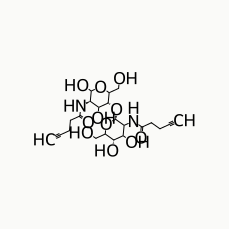 C#CCCC(=O)NC1C(O)[C@H](O)C(CO)O[C@H]1O[C@H]1C(CO)OC(O)[C@H](NC(=O)CCC#C)C1O